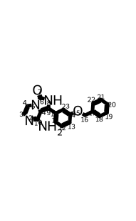 Nc1nccn2c(=O)[nH]c(-c3cccc(OCc4ccccc4)c3)c12